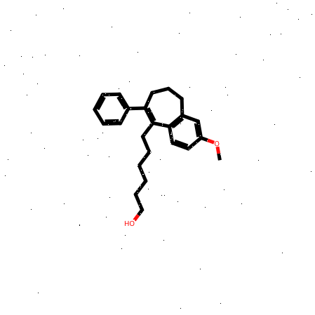 COc1ccc2c(c1)CCCC(c1ccccc1)=C2CCCCCCO